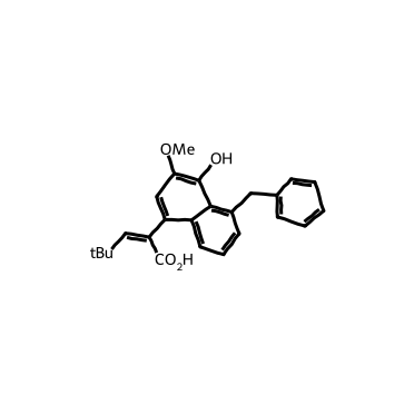 COc1cc(/C(=C/C(C)(C)C)C(=O)O)c2cccc(Cc3ccccc3)c2c1O